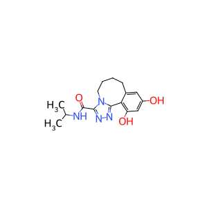 CC(C)NC(=O)c1nnc2n1CCCCc1cc(O)cc(O)c1-2